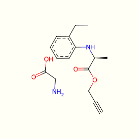 C#CCOC(=O)[C@H](C)Nc1ccccc1CC.NCC(=O)O